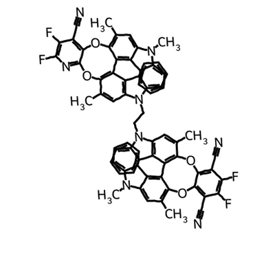 Cc1cc2c(c3ccccc3n2C)c2c1oc1c(C#N)c(F)c(F)nc1oc1c(C)cc3c(c4ccccc4n3CCn3c4ccccc4c4c5c(oc6c(C#N)c(F)c(F)c(C#N)c6oc6c(C)cc7c(c8ccccc8n7C)c65)c(C)cc43)c12